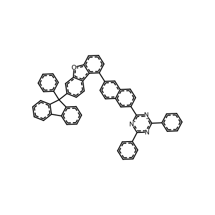 c1ccc(-c2nc(-c3ccccc3)nc(-c3ccc4cc(-c5cccc6oc7cc(C8(c9ccccc9)c9ccccc9-c9ccccc98)ccc7c56)ccc4c3)n2)cc1